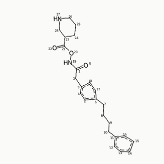 O=C(Cc1ccc(CCCCc2ccccc2)cc1)NOC(=O)C1CCCNC1